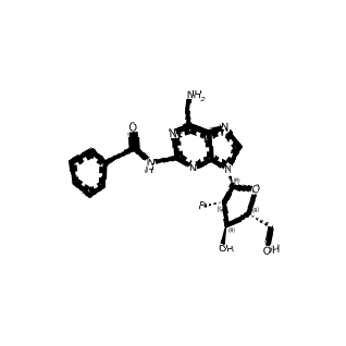 Nc1nc(NC(=O)c2ccccc2)nc2c1ncn2[C@@H]1O[C@H](CO)[C@@H](O)[C@@H]1F